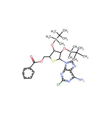 CC(C)(C)[Si](C)(C)OC1C(COC(=O)c2ccccc2)SC(n2cnc3c(N)nc(Cl)nc32)C1O[Si](C)(C)C(C)(C)C